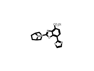 CCOC(=O)c1ccc(-c2nccs2)c2oc(N3CC4CCC(C3)N4)nc12